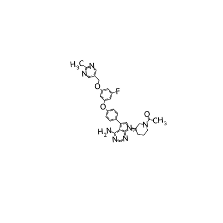 CC(=O)N1CCC[C@@H](n2cc(-c3ccc(Oc4cc(F)cc(OCc5cnc(C)nc5)c4)cc3)c3c(N)ncnc32)C1